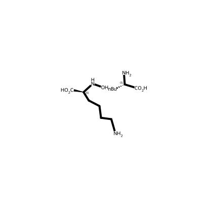 CCCC[C@H](N)C(=O)O.NCCCC[C@H](NO)C(=O)O